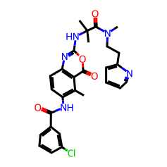 Cc1c(NC(=O)c2cccc(Cl)c2)ccc2nc(NC(C)(C)C(=O)N(C)CCc3ccccn3)oc(=O)c12